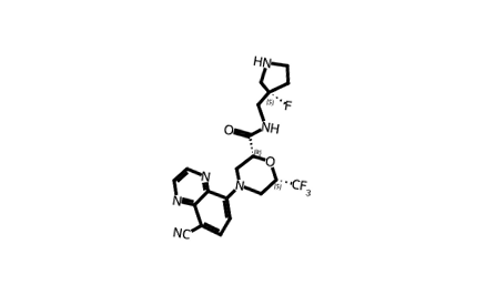 N#Cc1ccc(N2C[C@@H](C(F)(F)F)O[C@@H](C(=O)NC[C@]3(F)CCNC3)C2)c2nccnc12